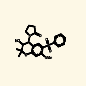 CNc1cc2c(cc1S(=O)(=O)c1ccccc1)C(N1CCCC1=O)C(O)C(C)(C)O2